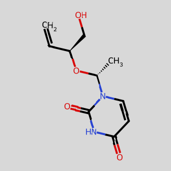 C=C[C@@H](CO)O[C@H](C)n1ccc(=O)[nH]c1=O